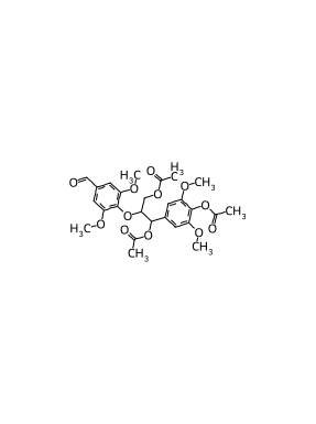 COc1cc(C(OC(C)=O)C(COC(C)=O)Oc2c(OC)cc(C=O)cc2OC)cc(OC)c1OC(C)=O